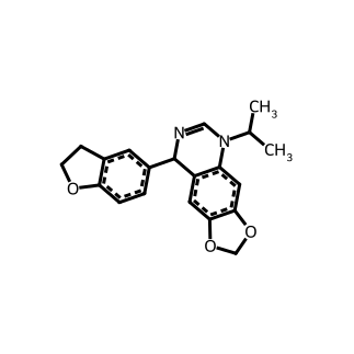 CC(C)N1C=NC(c2ccc3c(c2)CCO3)c2cc3c(cc21)OCO3